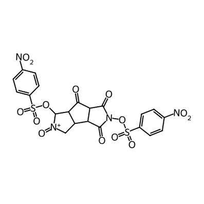 O=C1C2C(=O)N(OS(=O)(=O)c3ccc([N+](=O)[O-])cc3)C(=O)C2C2C[N+](=O)C(OS(=O)(=O)c3ccc([N+](=O)[O-])cc3)C12